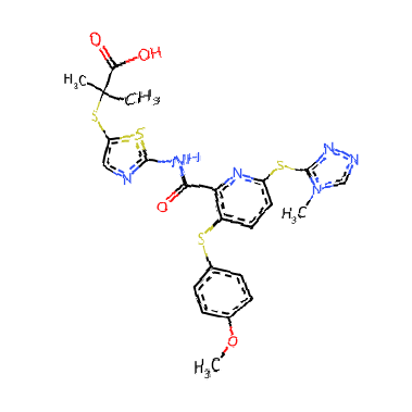 COc1ccc(Sc2ccc(Sc3nncn3C)nc2C(=O)Nc2ncc(SC(C)(C)C(=O)O)s2)cc1